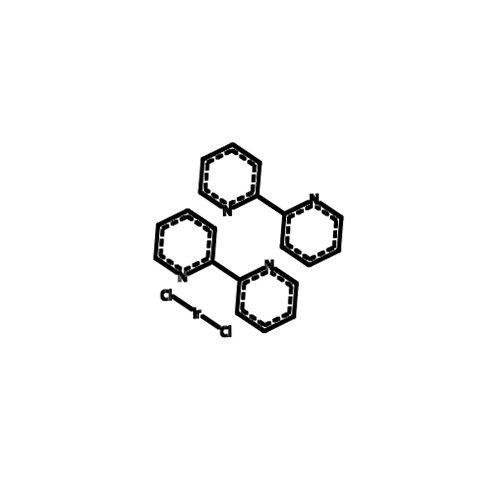 [Cl][Ir][Cl].c1ccc(-c2ccccn2)nc1.c1ccc(-c2ccccn2)nc1